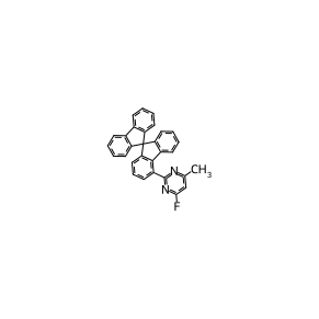 Cc1cc(F)nc(-c2cccc3c2-c2ccccc2C32c3ccccc3-c3ccccc32)n1